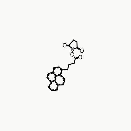 O=C(CCCc1ccc2ccc3cccc4ccc1c2c34)ON1C(=O)CCC1=O